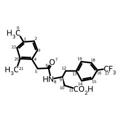 Cc1ccc(CC(=O)N[C@H](CC(=O)O)Cc2ccc(C(F)(F)F)cc2)c(C)c1